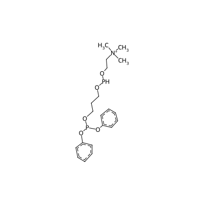 C[N+](C)(C)CCOPOCCCOP(Oc1ccccc1)Oc1ccccc1